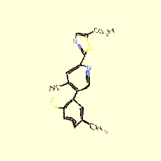 Cc1ccc(F)c(-c2cnc(-c3ncc(C(=O)O)s3)cc2C#N)c1